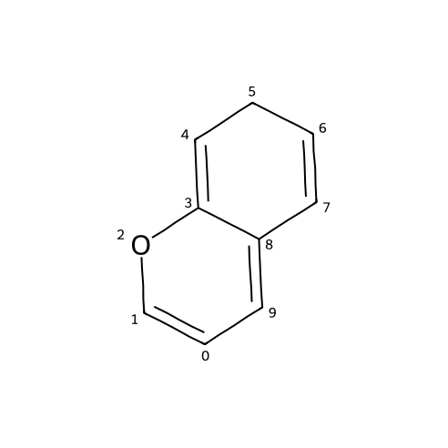 C1=COC2=CCC=CC2=C1